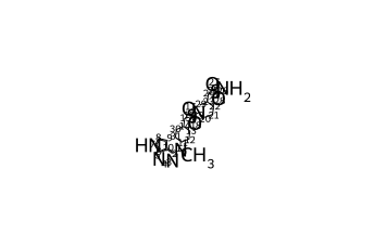 CN(c1ncnc2[nH]ccc12)C1CCC(CS(=O)(=O)N2CCCC(CS(N)(=O)=O)C2)CC1